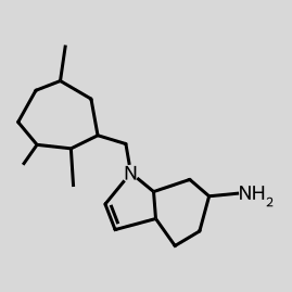 CC1CCC(C)C(C)C(CN2C=CC3CCC(N)CC32)C1